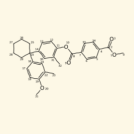 COC(=O)c1ccc(C(=O)Oc2ccc(C3(c4ccc(OC)c(C)c4)CCCCC3)cc2C)cc1